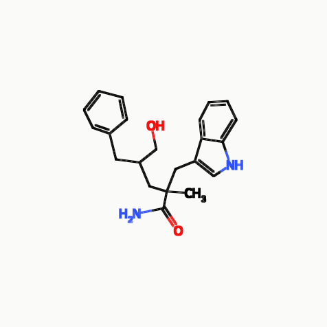 CC(Cc1c[nH]c2ccccc12)(CC(CO)Cc1ccccc1)C(N)=O